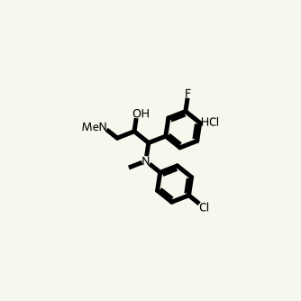 CNCC(O)C(c1cccc(F)c1)N(C)c1ccc(Cl)cc1.Cl